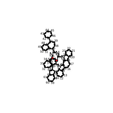 C1=C(c2ccccc2-n2c3ccccc3c3ccc4c5ccccc5n(-c5nc(-c6ccccc6)nc(-c6ccc(-c7ccccc7)c7ccccc67)n5)c4c32)Cc2ccccc21